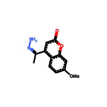 COc1ccc2c(/C(C)=N\N)cc(=O)oc2c1